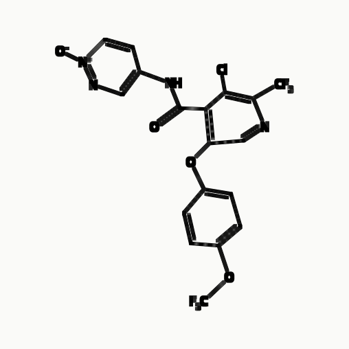 O=C(Nc1cc[n+]([O-])nc1)c1c(Oc2ccc(OC(F)(F)F)cc2)cnc(C(F)(F)F)c1Cl